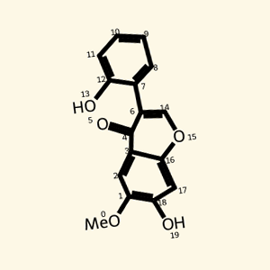 COc1cc2c(=O)c(-c3ccccc3O)coc2cc1O